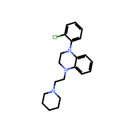 Clc1ccccc1N1CCN(CCN2CCCCC2)c2ccccc21